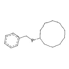 c1ccc(C[P]C2CCCCCCCCC2)cc1